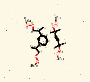 CC(C)(C)OOC(C)(C)C#CC(C)(C)OOC(C)(C)C.CC(COOC(C)(C)C)c1cccc(C(C)COOC(C)(C)C)c1